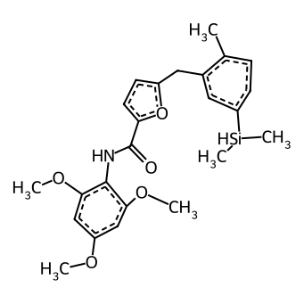 COc1cc(OC)c(NC(=O)c2ccc(Cc3cc([SiH](C)C)ccc3C)o2)c(OC)c1